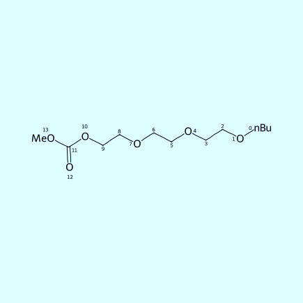 CCCCOCCOCCOCCOC(=O)OC